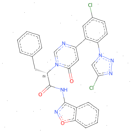 O=C(Nc1noc2ccccc12)[C@H](Cc1ccccc1)n1cnc(-c2cc(Cl)ccc2-n2cc(Cl)nn2)cc1=O